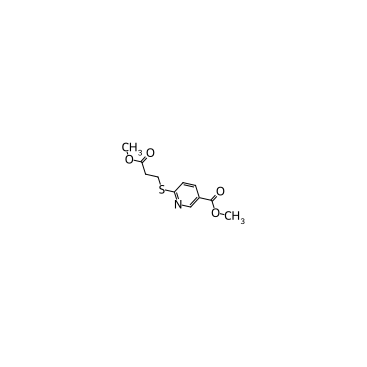 COC(=O)CCSc1ccc(C(=O)OC)cn1